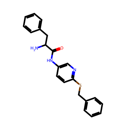 NC(Cc1ccccc1)C(=O)Nc1ccc(SCc2ccccc2)nc1